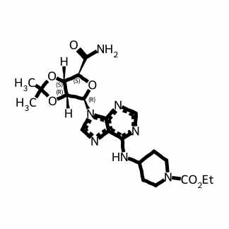 CCOC(=O)N1CCC(Nc2ncnc3c2ncn3[C@@H]2O[C@H](C(N)=O)[C@H]3OC(C)(C)O[C@H]32)CC1